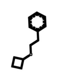 [c]1ccc(CCOC2CCC2)cc1